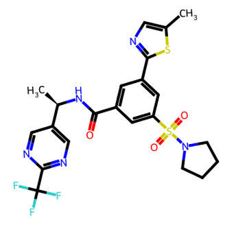 Cc1cnc(-c2cc(C(=O)N[C@H](C)c3cnc(C(F)(F)F)nc3)cc(S(=O)(=O)N3CCCC3)c2)s1